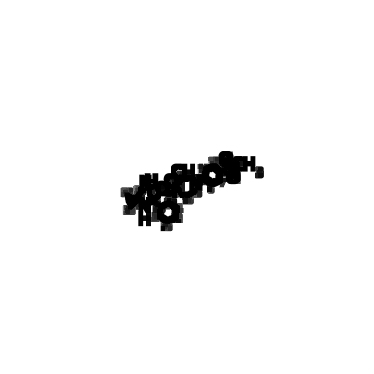 CC1(C)CN(c2ccc(S(C)(=O)=O)cc2)CCN1C(=O)[C@@H]1CCCC[C@H]1C(=O)NC1(C#N)CC1